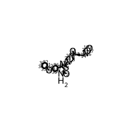 NC(=O)c1sc(N2CCN(C(=O)C#CCN3CCOCC3)CC2)nc1-c1ccc(Oc2ccccc2)cc1